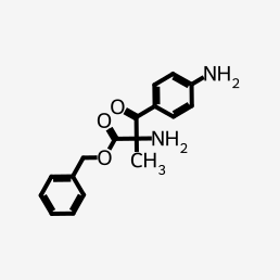 CC(N)(C(=O)OCc1ccccc1)C(=O)c1ccc(N)cc1